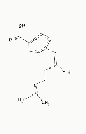 CC(C)=CCCC(C)=Cc1ccc(C(=O)O)cc1